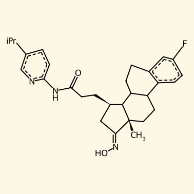 CC(C)c1ccc(NC(=O)CC[C@@H]2C/C(=N\O)[C@@]3(C)CCC4c5ccc(F)cc5CCC4C23)nc1